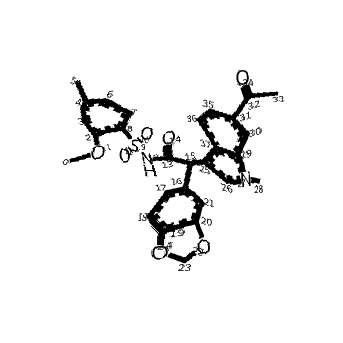 COc1cc(C)ccc1S(=O)(=O)NC(=O)C(c1ccc2c(c1)OCO2)c1cn(C)c2cc(C(C)=O)ccc12